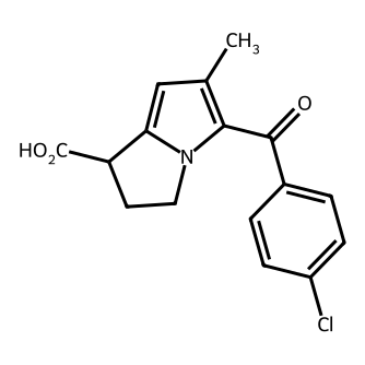 Cc1cc2n(c1C(=O)c1ccc(Cl)cc1)CCC2C(=O)O